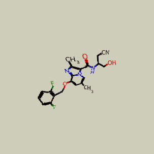 Cc1cc(OCc2c(F)cccc2F)c2nc(C)c(C(=O)NC(CO)CC#N)n2c1